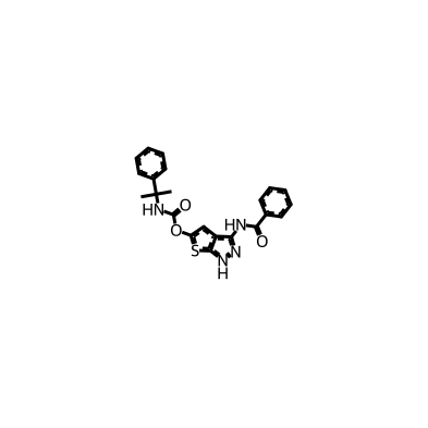 CC(C)(NC(=O)Oc1cc2c(NC(=O)c3ccccc3)n[nH]c2s1)c1ccccc1